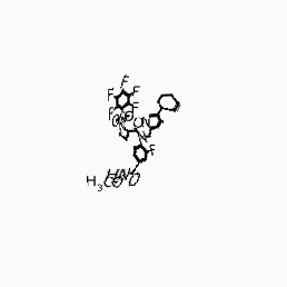 CONC(=O)c1ccc(N(Cc2ccc(C3CCCCC3)cn2)C(=O)C2CCN2S(=O)(=O)c2c(F)c(F)c(F)c(F)c2F)c(F)c1